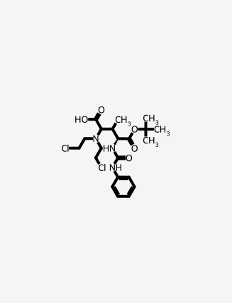 CC(C(C(=O)O)N(CCCl)CCCl)[C@H](NC(=O)Nc1ccccc1)C(=O)OC(C)(C)C